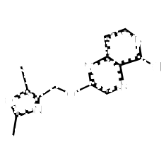 Cc1nc(COc2cnc3c(Cl)nccc3n2)c(C)o1